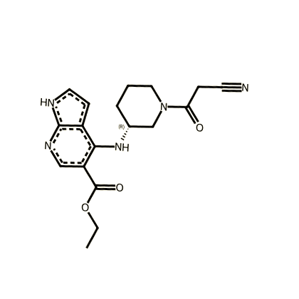 CCOC(=O)c1cnc2[nH]ccc2c1N[C@@H]1CCCN(C(=O)CC#N)C1